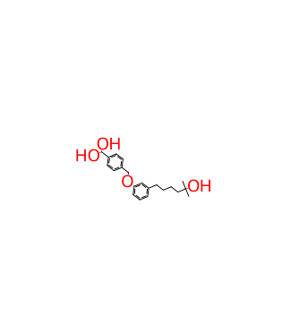 CC(C)(O)CCCCc1cccc(OCc2ccc(C(O)O)cc2)c1